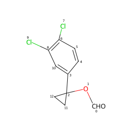 O=COC1(c2ccc(Cl)c(Cl)c2)CC1